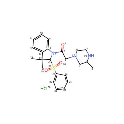 CC1CN(CC(=O)N2c3ccccc3C(C)(C)C2S(=O)(=O)c2ccccc2)CCN1.Cl